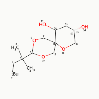 CC(C)(C)CC(C)(C)C1OCC2(CO1)OC[C@@H](O)CC2O